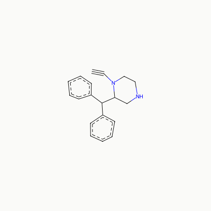 C#CN1CCNCC1C(c1ccccc1)c1ccccc1